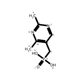 Cc1ncc(CP(=O)(O)O)c(C)n1